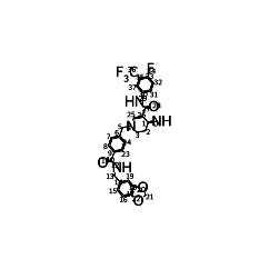 N=C1CCN(Cc2ccc(C(=O)NCc3ccc4c(c3)OCO4)cc2)C=C1C(=O)Nc1ccc(F)c(C(F)(F)F)c1